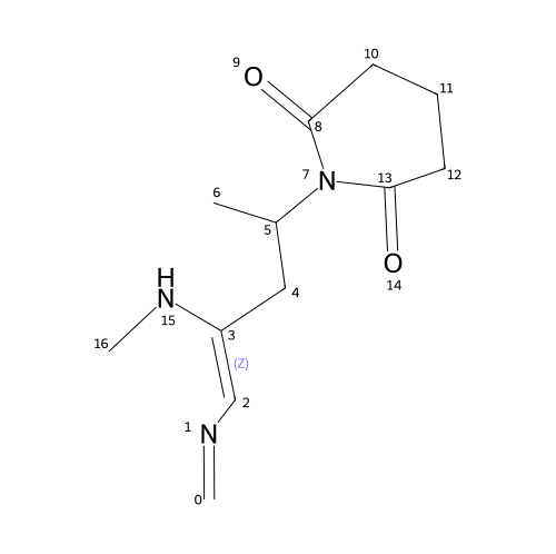 C=N/C=C(/CC(C)N1C(=O)CCCC1=O)NC